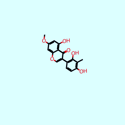 COc1cc(O)c2c(=O)c(-c3ccc(O)c(C)c3O)coc2c1